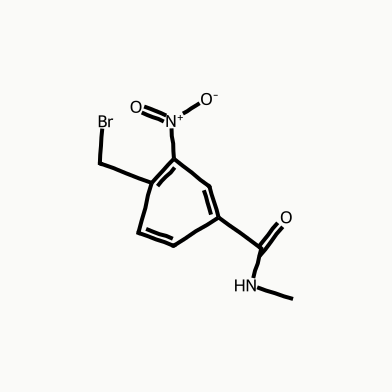 CNC(=O)c1ccc(CBr)c([N+](=O)[O-])c1